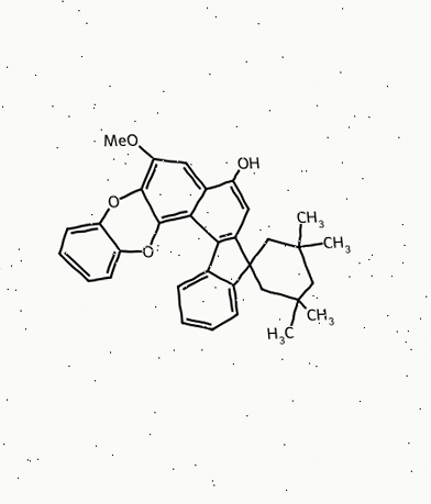 COc1cc2c(O)cc3c(c2c2c1Oc1ccccc1O2)-c1ccccc1C31CC(C)(C)CC(C)(C)C1